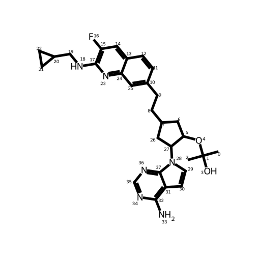 CC(C)(O)OC1CC(CCc2ccc3cc(F)c(NCC4CC4)nc3c2)CC1n1ccc2c(N)ncnc21